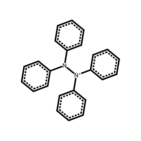 c1ccc(N(c2ccccc2)[N+](c2ccccc2)c2ccccc2)cc1